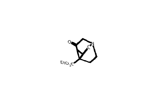 CCOC(=O)C12CCN(CC1=O)CC2C